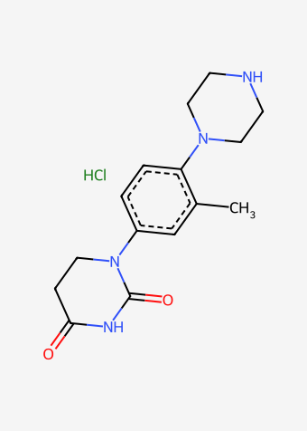 Cc1cc(N2CCC(=O)NC2=O)ccc1N1CCNCC1.Cl